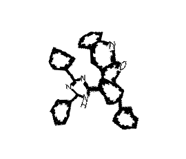 c1ccc(C2=NC(c3ccccc3)NC(c3cc(-c4ccccc4)cc4oc5nc6ccccc6cc5c34)=N2)cc1